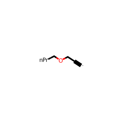 [C]#CCOCCCC